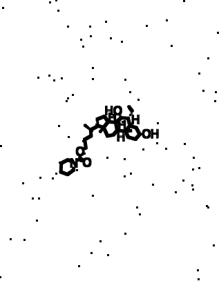 CC[C@H]1[C@@H](O)[C@@H]2[C@H](CC[C@]3(C)[C@@H]([C@H](C)CCCOC(=O)N4CCCCC4)CC[C@@H]23)C2(C)CC[C@@H](O)C[C@@H]12